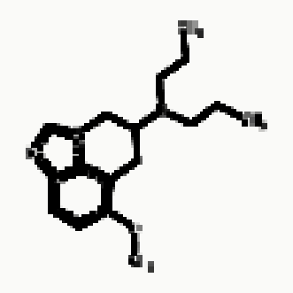 CCCN(CCC)C1Cc2c(OC)ccc3ncn(c23)C1